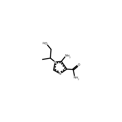 CC(CO)n1cnc(C(N)=O)c1N